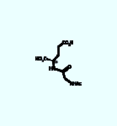 CC(=O)NCC(=O)N[C@@H](CCC(=O)O)C(=O)O